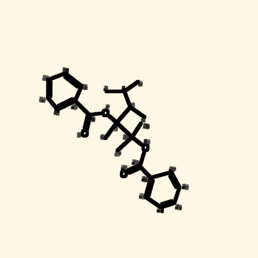 CC(C)C(C)C(C)(OC(=O)c1ccccc1)C(C)(C)OC(=O)c1ccccc1